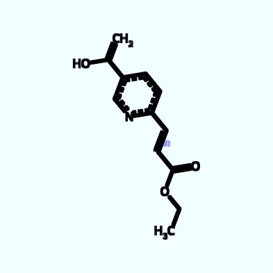 C=C(O)c1ccc(/C=C/C(=O)OCC)nc1